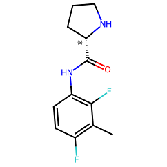 Cc1c(F)ccc(NC(=O)[C@@H]2CCCN2)c1F